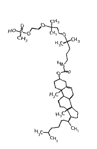 CC(C)CCCC(C)C1CCC2C3CC=C4CC(OC(=O)NCCCC(C)(C)OCCC(C)(C)OCCOP(C)(=O)O)CCC4(C)C3CCC12C